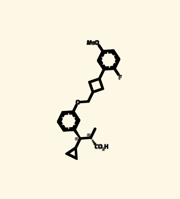 COc1ccc(F)c(C2CC(COc3cccc([C@H](C4CC4)[C@H](C)C(=O)O)c3)C2)c1